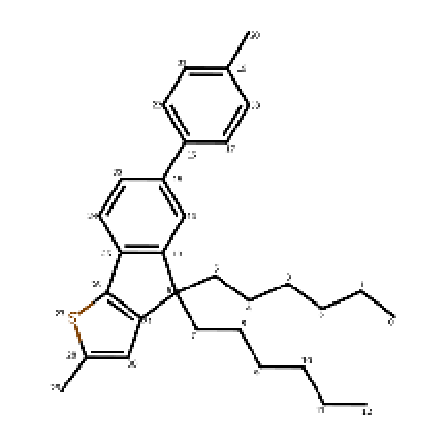 CCCCCCC1(CCCCCC)c2cc(-c3ccc(C)cc3)ccc2-c2sc(C)cc21